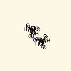 C=CC(=O)OCC(O)Cn1c(=O)n(CC(O)COC(=O)C=C)c(=O)n(CC(O)COC(=O)/C=C/C=C(\C)C(=O)OCC(O)Cn2c(=O)n(CC(O)COC(=O)C(=C)C)c(=O)n(CC(O)COC(=O)C(=C)C)c2=O)c1=O